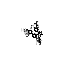 Cc1nc(-c2ccc(Cl)c(OC(F)F)c2)c(-c2cc(-c3cc(F)c(CO)c(S(C)(=O)=O)c3)ccc2-n2ccc(C(F)(F)F)n2)o1